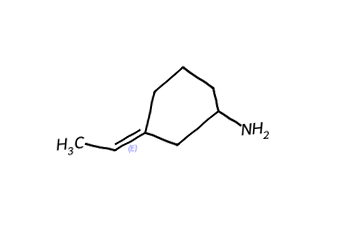 C/C=C1\CCCC(N)C1